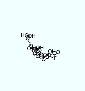 C[C@@H]1CC2C3C[C@H](F)C4=CC(=O)C=C[C@]4(C)[C@@]3(F)[C@@H](O)C[C@]2(C)[C@@]1(OC(=O)CCCON(O)O)C(=O)COC(=O)Oc1ccc(C[C@H](N)C(=O)OCCCCON(O)O)cc1